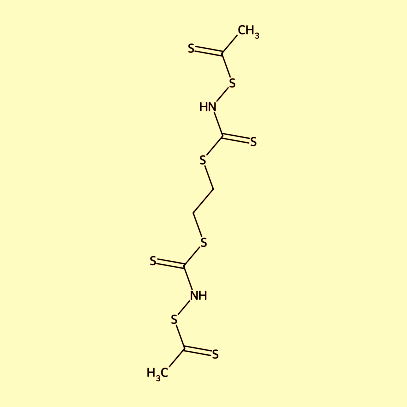 CC(=S)SNC(=S)SCCSC(=S)NSC(C)=S